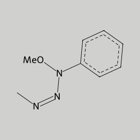 C/N=N\N(OC)c1ccccc1